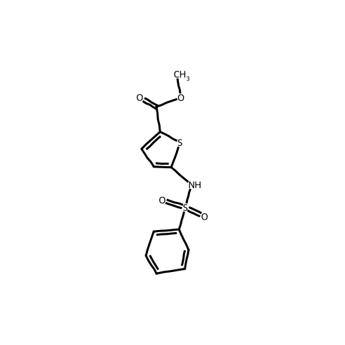 COC(=O)c1ccc(NS(=O)(=O)c2ccccc2)s1